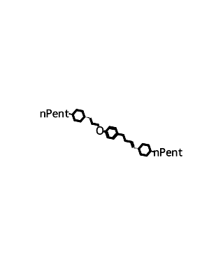 CCCCC[C@H]1CC[C@H](/C=C/CCc2ccc(OCCC[C@H]3CC[C@H](CCCCC)CC3)cc2)CC1